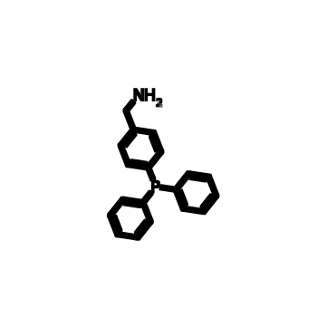 NCc1ccc(P(c2ccccc2)c2ccccc2)cc1